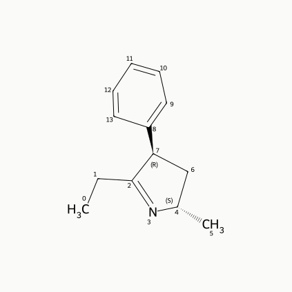 CCC1=N[C@@H](C)C[C@@H]1c1ccccc1